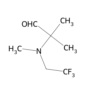 CN(CC(F)(F)F)C(C)(C)C=O